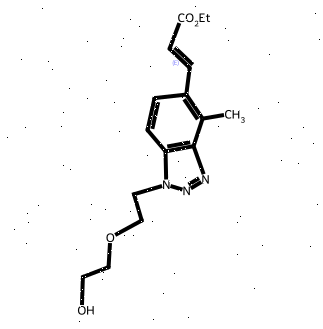 CCOC(=O)/C=C/c1ccc2c(nnn2CCOCCO)c1C